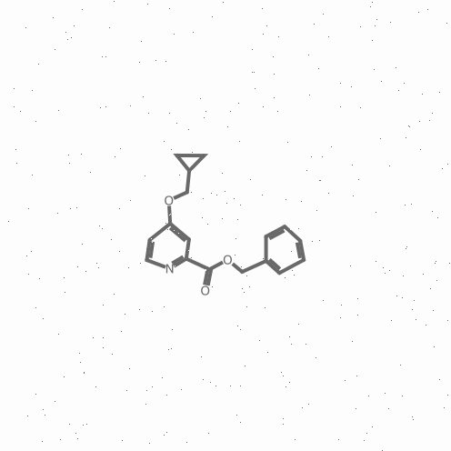 O=C(OCc1ccccc1)c1cc(OCC2CC2)ccn1